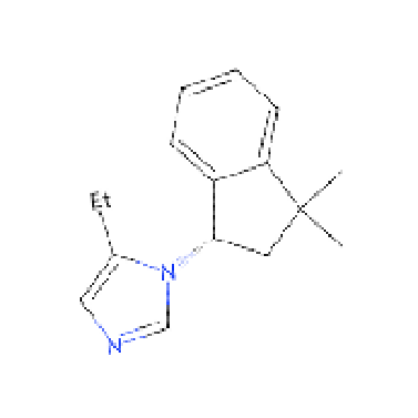 CCc1cncn1[C@H]1CC(C)(C)c2ccccc21